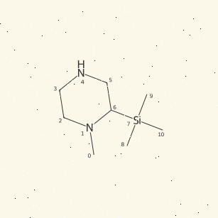 CN1CCNCC1[Si](C)(C)C